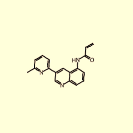 C=CC(=O)Nc1cccc2ncc(-c3cccc(C)n3)cc12